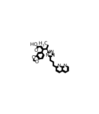 CCC(/C(=C/C(=O)O)c1ccc2c(c1)OCO2)n1nnc(CCCc2ccc3cccnc3n2)n1